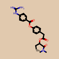 CN(C)C(=O)C(CC(C)(C)C)OC(=O)Cc1ccc(OC(=O)c2ccc(NC(=N)N)cc2)cc1